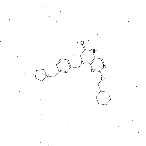 O=C1CN(Cc2cccc(CN3CCCC3)c2)c2nc(OCC3CCCCC3)ncc2N1